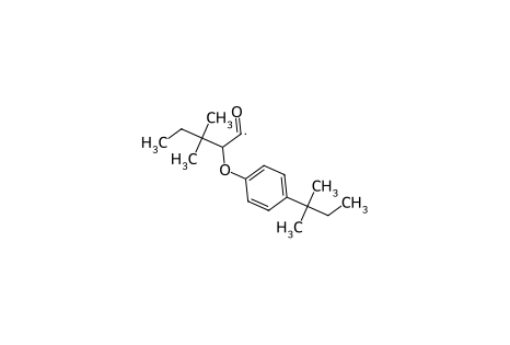 CCC(C)(C)c1ccc(OC([C]=O)C(C)(C)CC)cc1